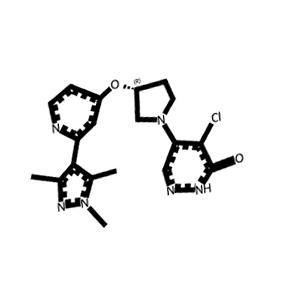 Cc1nn(C)c(C)c1-c1cc(O[C@@H]2CCN(c3cn[nH]c(=O)c3Cl)C2)ccn1